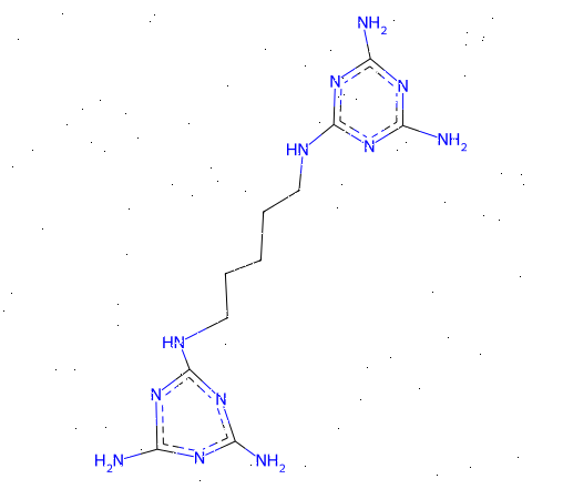 Nc1nc(N)nc(NCCCCCNc2nc(N)nc(N)n2)n1